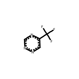 FC(F)(F)c1[c]nncn1